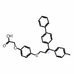 Cc1ccc(/C(=C/CSc2ccc(OCC(=O)O)cc2)c2ccc(-c3ccccc3)cc2)cc1